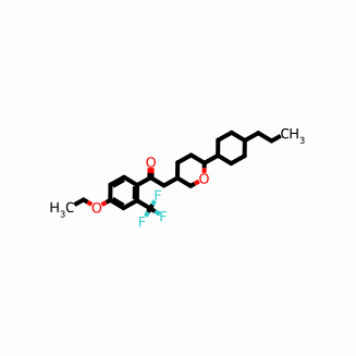 CCCC1CCC(C2CCC(CC(=O)c3ccc(OCC)cc3C(F)(F)F)CO2)CC1